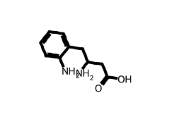 Nc1ccccc1CC(N)CC(=O)O